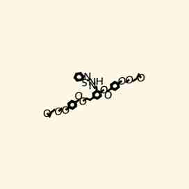 O=C(OCCc1ccc(OC(=O)c2ccc(OCOCC3CO3)cc2)c(/C=N/Nc2nc3ccccc3s2)c1)c1ccc(OCOCC2CO2)cc1